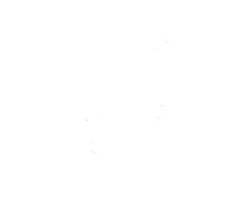 Cc1ccc2c(n1)C(=Cc1ccc3c(/C=C/c4ccncc4)n[nH]c3c1)C(=O)N2